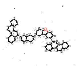 c1ccc2c(c1)ccc1c3ccccc3c(-c3ccc4ccc(-c5ccc6oc7ccc(-c8cc9c%10ccccc%10ccc9c9ccccc89)cc7c6c5)cc4c3)cc21